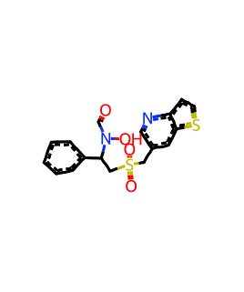 O=CN(O)C(CS(=O)(=O)Cc1cnc2ccsc2c1)c1ccccc1